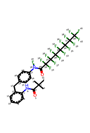 CC(C)(C)C(=O)Nc1ccccc1Cc1ccc(N(F)C(=O)C(F)(F)C(F)(F)C(F)(F)C(F)(F)C(F)(F)C(F)(F)C(F)(F)F)cc1